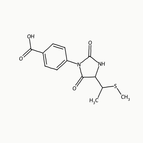 CSC(C)C1NC(=O)N(c2ccc(C(=O)O)cc2)C1=O